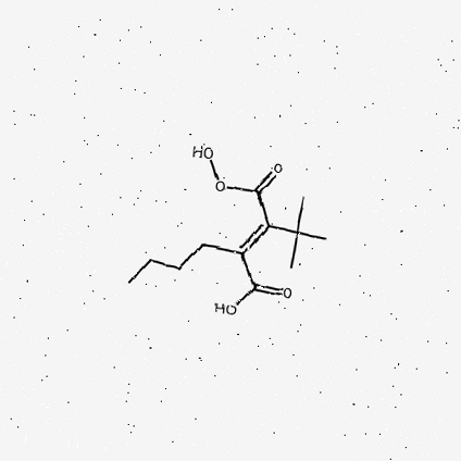 CCCC/C(C(=O)O)=C(\C(=O)OO)C(C)(C)C